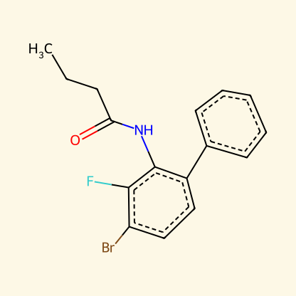 CCCC(=O)Nc1c(-c2ccccc2)ccc(Br)c1F